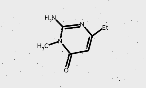 [CH2]Cc1cc(=O)n(C)c(N)n1